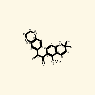 COc1c(C(=O)C(C)c2ccc3c(c2)OCCO3)ccc2c1C=CC(C)(C)O2